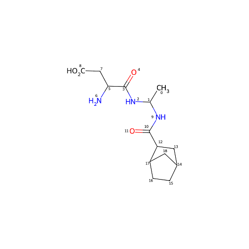 CC(NC(=O)C(N)CC(=O)O)NC(=O)C1CC2CCC1C2